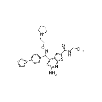 CCNC(=O)c1cc2c(C(=NOCCN3CCCC3)c3ccc(-n4cccc4)cc3)nc(N)nc2s1